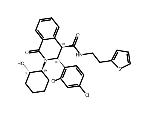 O=C(NCCc1cccs1)[C@@H]1c2ccccc2C(=O)N([C@H]2CCCC[C@@H]2O)[C@H]1c1ccc(Cl)cc1Cl